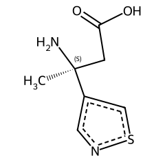 C[C@](N)(CC(=O)O)c1cnsc1